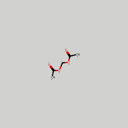 N#CC(=O)OCOC(=O)C#N